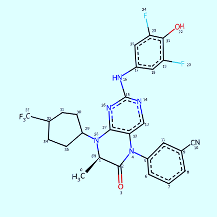 C[C@@H]1C(=O)N(c2cccc(C#N)c2)c2cnc(Nc3cc(F)c(O)c(F)c3)nc2N1C1CCC(C(F)(F)F)CC1